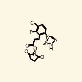 CN1NN=CN1c1ccc(Cl)c(F)c1/C=C/C(=O)ON1C(=O)CCC1=O